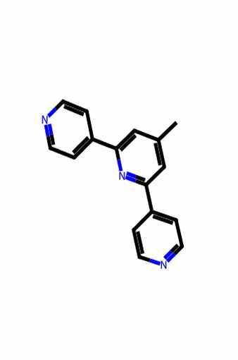 Cc1cc(-c2ccncc2)nc(-c2ccncc2)c1